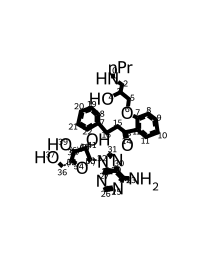 CCCNCC(O)COc1ccccc1C(=O)CCc1ccccc1.Nc1ncnc2c1ncn2[C@@H]1O[C@H](CO)[C@@H](O)[C@H]1O